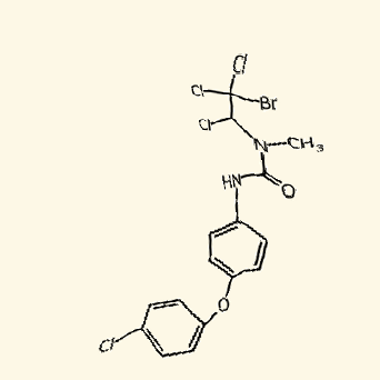 CN(C(=O)Nc1ccc(Oc2ccc(Cl)cc2)cc1)C(Cl)C(Cl)(Cl)Br